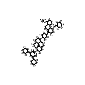 N#Cc1ccc2c3c1ccc1c(-c4ccc(-c5ccc6ccc7c(-c8nc(-c9ccccc9)cc(-c9ccccc9)n8)ccc8ccc5c6c87)cc4)ccc(c13)n2-c1ccccc1